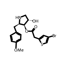 COc1ccc(C[C@H]2NC[C@H](O)[C@H]2OC(=O)Cc2cc(Br)cs2)cc1